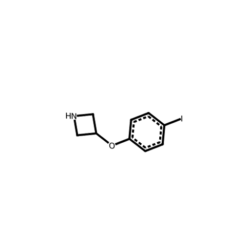 Ic1ccc(OC2CNC2)cc1